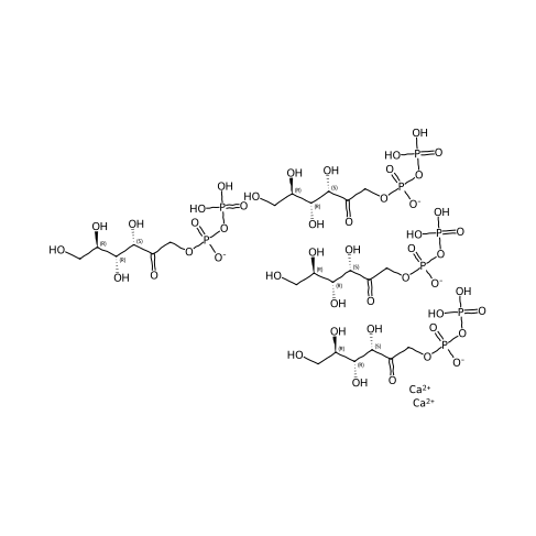 O=C(COP(=O)([O-])OP(=O)(O)O)[C@@H](O)[C@H](O)[C@H](O)CO.O=C(COP(=O)([O-])OP(=O)(O)O)[C@@H](O)[C@H](O)[C@H](O)CO.O=C(COP(=O)([O-])OP(=O)(O)O)[C@@H](O)[C@H](O)[C@H](O)CO.O=C(COP(=O)([O-])OP(=O)(O)O)[C@@H](O)[C@H](O)[C@H](O)CO.[Ca+2].[Ca+2]